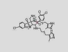 Cc1nc[nH]c1CSCCN[C](C(N)C([CH]N)(NCCSCc1[nH]cnc1C)S(=O)(=O)c1ccc(Cl)cc1)S(=O)(=O)c1ccc(Cl)c(Cl)c1